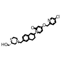 O=c1cc(OCc2ccc(Cl)cn2)ccn1C1=Cc2ccc(CN3CCS[C@@H](CO)C3)cc2CC1